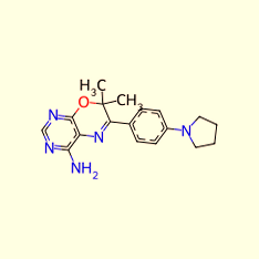 CC1(C)Oc2ncnc(N)c2N=C1c1ccc(N2CCCC2)cc1